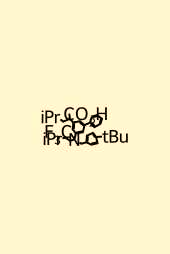 CC(C)CCN(Cc1ccc(C(C)(C)C)cc1)c1cc(-c2ccccc2)cc(C(CC(C)C)C(=O)O)c1C(F)(F)F